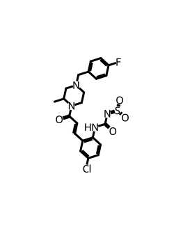 CC1CN(Cc2ccc(F)cc2)CCN1C(=O)C=Cc1cc(Cl)ccc1NC(=O)N=S(=O)=O